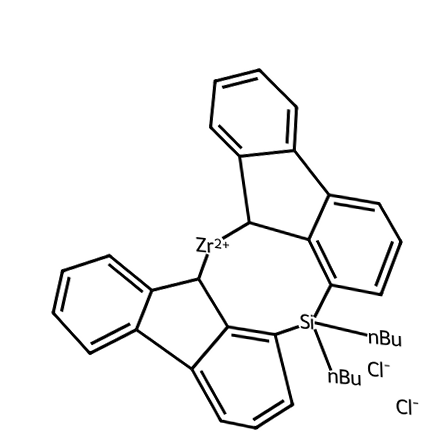 CCCC[Si]1(CCCC)c2cccc3c2[CH]([Zr+2][CH]2c4ccccc4-c4cccc1c42)c1ccccc1-3.[Cl-].[Cl-]